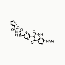 CNc1ccc2c(=O)n(-c3cnc(NC(=O)NS(=O)(=O)c4cccs4)cn3)c(=O)[nH]c2c1